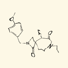 CCN1CCC2(CN(Cc3ccc(OC)cc3)C2=O)C(F)C1=O